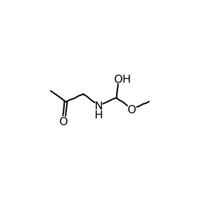 COC(O)NCC(C)=O